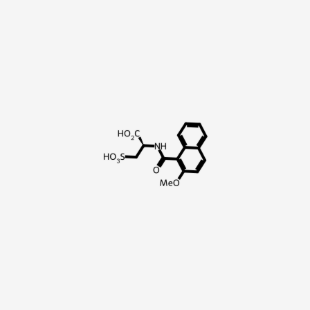 COc1ccc2ccccc2c1C(=O)N[C@@H](CS(=O)(=O)O)C(=O)O